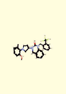 COc1cccc(C)c1N1CC[C@@H](N2Cc3ccccc3N(Cc3ccccc3C(F)(F)F)C2=O)C1